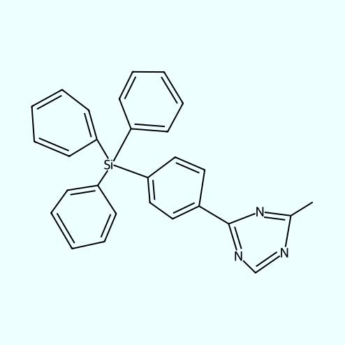 Cc1ncnc(-c2ccc([Si](c3ccccc3)(c3ccccc3)c3ccccc3)cc2)n1